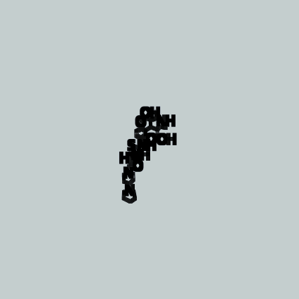 CC1=C(C(=O)O)C(c2cccc(NC(=S)NNC(=O)CN3CCC(N4CCCCC4)CC3)c2)C(C(=O)O)=C(C)N1